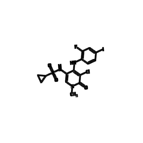 Cn1cc(NS(=O)(=O)C2CC2)c(Nc2ccc(I)cc2F)c(Cl)c1=O